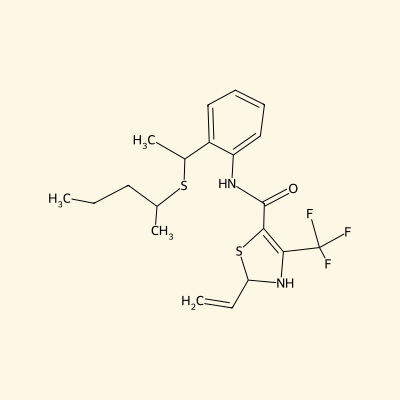 C=CC1NC(C(F)(F)F)=C(C(=O)Nc2ccccc2C(C)SC(C)CCC)S1